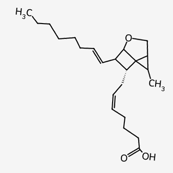 CCCCCC/C=C/C1C2OCC3C(C)C32[C@@H]1C/C=C\CCCC(=O)O